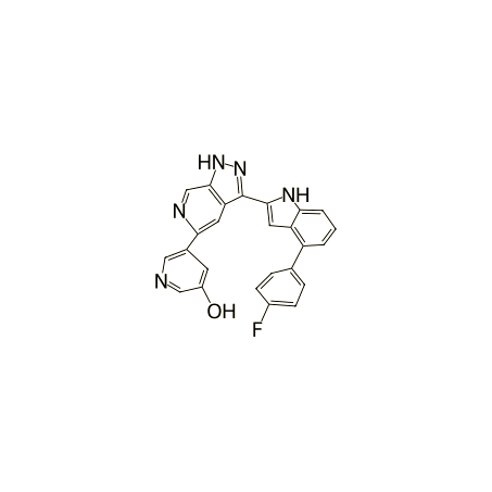 Oc1cncc(-c2cc3c(-c4cc5c(-c6ccc(F)cc6)cccc5[nH]4)n[nH]c3cn2)c1